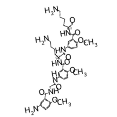 COc1ccc(N)cc1C(=O)NCC(=O)Nc1ccc(OC)c(C(=O)N[C@@H](CCCCN)C(=O)Nc2ccc(OC)c(C(=O)N[C@H](C=O)CCCCN)c2)c1